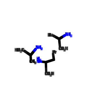 CC(C)CC(N)C(=O)O.CC(N)C(=O)O.CCC(C)C(N)C(=O)O